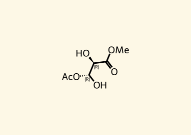 COC(=O)[C@H](O)[C@H](O)OC(C)=O